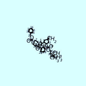 C=C1CC(CC[C@H]2CN(C(=O)OCc3ccccc3)CCN2S(=O)(=O)c2ccccc2)C(NC(=O)OCCS(C)(C)C)C1